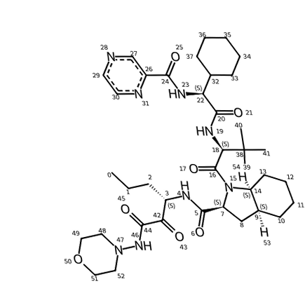 CCC[C@H](NC(=O)[C@@H]1C[C@@H]2CCCC[C@@H]2N1C(=O)[C@@H](NC(=O)[C@@H](NC(=O)c1cnccn1)C1CCCCC1)C(C)(C)C)C(=O)C(=O)NN1CCOCC1